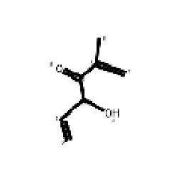 C=CC(O)C(=O)C(=C)C